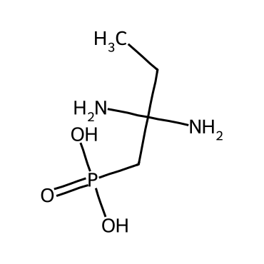 CCC(N)(N)CP(=O)(O)O